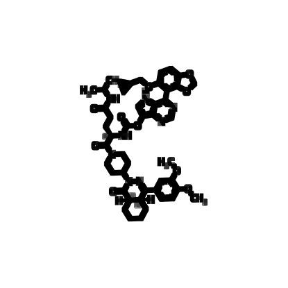 COc1ccc(C2=NN(C3CCN(C(=O)[C@@H](CCC(=O)NC(C)C)NC(=O)Oc4c[nH]c5c(-c6c(OCC7CC7)ccc7c6OCO7)ncnc45)CC3)C(=O)[C@@H]3CCCC[C@H]23)cc1OC